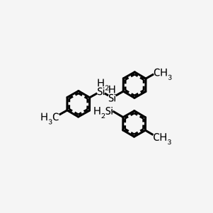 Cc1ccc([SiH2][SiH]([SiH2]c2ccc(C)cc2)c2ccc(C)cc2)cc1